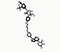 CC(C)(C=O)N(C(=S)N(S)c1ccc(C#N)c(C(F)(F)F)c1)c1ccc(OCCCCN2CCC(n3ccc4c(N5CCC(=O)NC5=O)cncc43)CC2)cc1